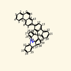 c1c2ccccc2c2ccc(-c3ccc4c(c3)C3(c5ccccc5-4)c4ccccc4-n4c5ccccc5c5cccc3c54)cc2c#1